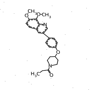 CCC(=O)N1CCC(Oc2ccc(-c3cnc4c(OC)c(OC)ccc4c3)cc2)CC1